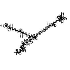 O=C(O)CCC(=O)NCCCCCC(=O)NCCCCCC(=O)N[C@@H](CCC(=O)NCCNC(=O)c1ccc(NNC(=O)C(F)(F)F)nc1)C(=O)NCCCOCCOCCOCCCNC(=O)CCCC[C@@H]1SC[C@@H]2NC(=O)N[C@@H]21